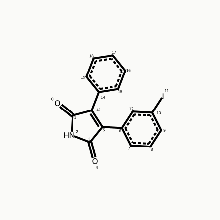 O=C1NC(=O)C(c2cccc(I)c2)=C1c1ccccc1